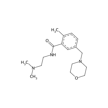 Cc1ccc(CN2CCOCC2)cc1C(=O)NCCN(C)C